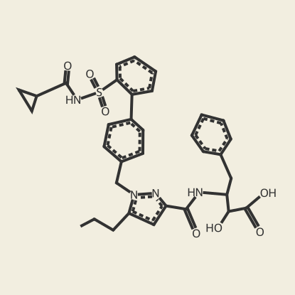 CCCc1cc(C(=O)NC(Cc2ccccc2)C(O)C(=O)O)nn1Cc1ccc(-c2ccccc2S(=O)(=O)NC(=O)C2CC2)cc1